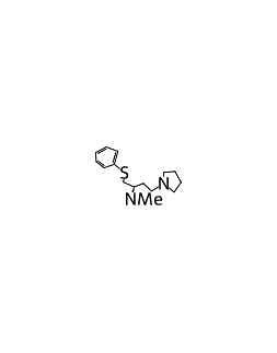 CN[C@H](CCN1CCCC1)CSc1ccccc1